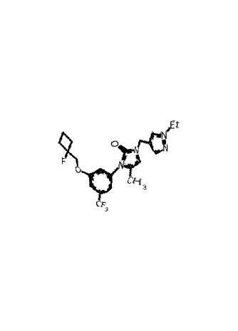 CCn1cc(Cn2cc(C)n(-c3cc(OCC4(F)CCC4)cc(C(F)(F)F)c3)c2=O)cn1